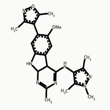 COc1cc2c(cc1-c1c(C)noc1C)NC1N=C(C)N=C(Nc3c(C)nn(C)c3C)C21